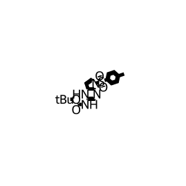 Cc1ccc(S(=O)(=O)N2C=CC3NC(NC(=O)OC(C)(C)C)=CN=C32)cc1